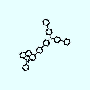 c1ccc(-c2ccc(N(c3ccc(-c4ccccc4)cc3)c3ccc(-c4ccc(-c5ccc6c7c5ccc5cccc(c57)n6-c5ccccc5)cc4)cc3)cc2)cc1